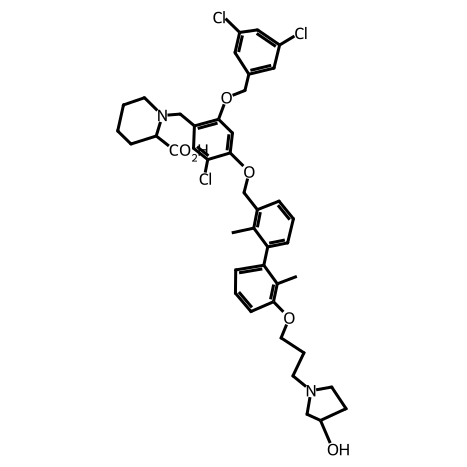 Cc1c(COc2cc(OCc3cc(Cl)cc(Cl)c3)c(CN3CCCCC3C(=O)O)cc2Cl)cccc1-c1cccc(OCCCN2CCC(O)C2)c1C